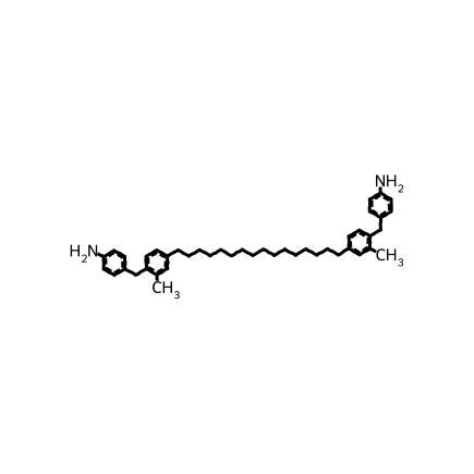 Cc1cc(CCCCCCCCCCCCCCCCc2ccc(Cc3ccc(N)cc3)c(C)c2)ccc1Cc1ccc(N)cc1